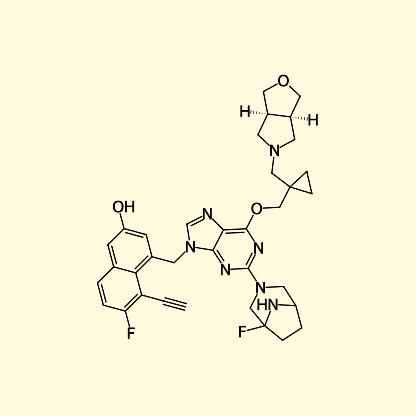 C#Cc1c(F)ccc2cc(O)cc(Cn3cnc4c(OCC5(CN6C[C@H]7COC[C@H]7C6)CC5)nc(N5CC6CCC(F)(C5)N6)nc43)c12